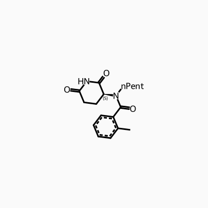 CCCCCN(C(=O)c1ccccc1C)[C@H]1CCC(=O)NC1=O